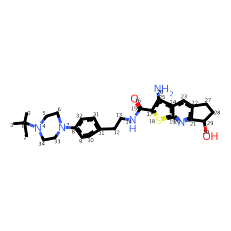 CC(C)(C)N1CCN(c2ccc(CCNC(=O)c3sc4nc5c(cc4c3N)CCC5O)cc2)CC1